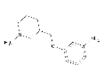 CN1CCCC(COc2cccc(N)c2)C1